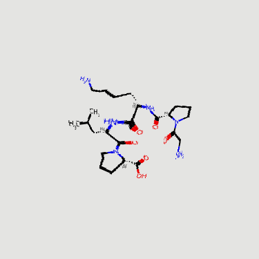 CC(C)C[C@H](NC(=O)[C@H](CCCCN)NC(=O)[C@@H]1CCCN1C(=O)CN)C(=O)N1CCC[C@H]1C(=O)O